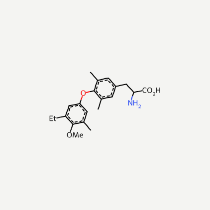 CCc1cc(Oc2c(C)cc(CC(N)C(=O)O)cc2C)cc(C)c1OC